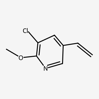 C=Cc1cnc(OC)c(Cl)c1